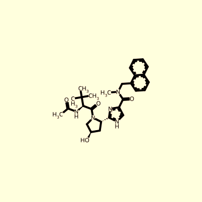 CC(=O)N[C@H](C(=O)N1C[C@H](O)C[C@H]1c1nc(C(=O)N(C)Cc2cccc3ccccc23)c[nH]1)C(C)(C)C